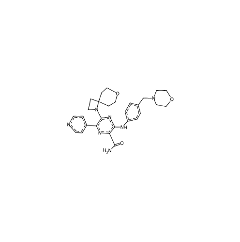 NC(=O)c1nc(-c2ccncc2)c(N2CCC23CCOCC3)nc1Nc1ccc(CN2CCOCC2)cc1